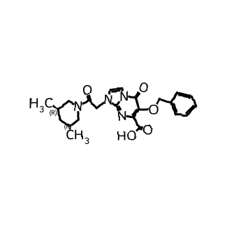 C[C@@H]1C[C@@H](C)CN(C(=O)Cn2ccn3c(=O)c(OCc4ccccc4)c(C(=O)O)nc23)C1